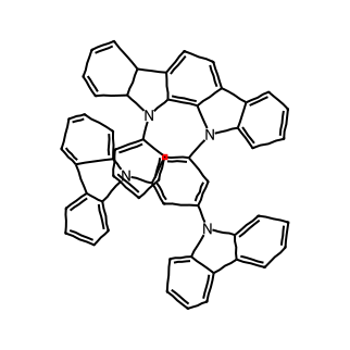 C1=CC2c3ccc4c5ccccc5n(-c5cc(-n6c7ccccc7c7ccccc76)cc(-n6c7ccccc7c7ccccc76)c5)c4c3N(c3ccccc3)C2C=C1